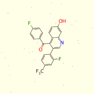 O=C(c1ccc(F)cc1)c1c(-c2ccc(C(F)(F)F)cc2F)cnc2cc(O)ccc12